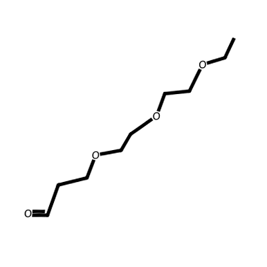 CCOCCOCCOCCC=O